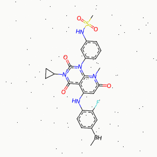 CBc1ccc(Nc2cc(=O)n(C)c3c2c(=O)n(C2CC2)c(=O)n3-c2cccc(NS(C)(=O)=O)c2)c(F)c1